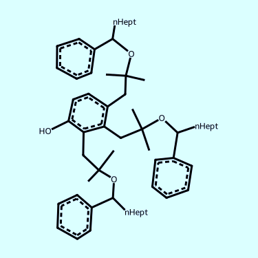 CCCCCCCC(OC(C)(C)Cc1ccc(O)c(CC(C)(C)OC(CCCCCCC)c2ccccc2)c1CC(C)(C)OC(CCCCCCC)c1ccccc1)c1ccccc1